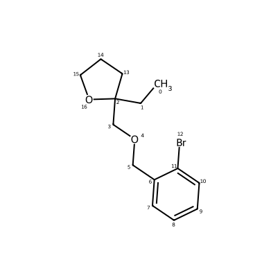 CCC1(COCc2ccccc2Br)CCCO1